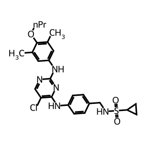 CCCOc1c(C)cc(Nc2ncc(Cl)c(Nc3ccc(CNS(=O)(=O)C4CC4)cc3)n2)cc1C